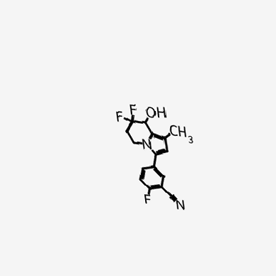 Cc1cc(-c2ccc(F)c(C#N)c2)n2c1C(O)C(F)(F)CC2